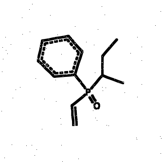 C=CP(=O)(c1ccccc1)C(C)CC